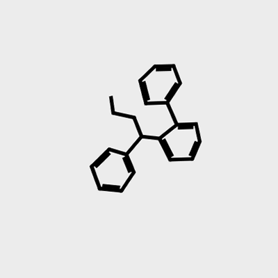 CCCC(c1ccccc1)c1ccccc1-c1ccccc1